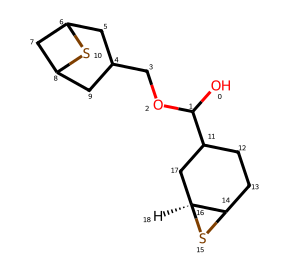 OC(OCC1CC2CC(C1)S2)C1CCC2S[C@H]2C1